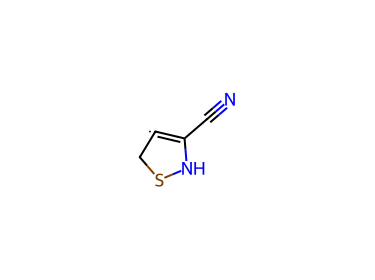 N#CC1=[C]CSN1